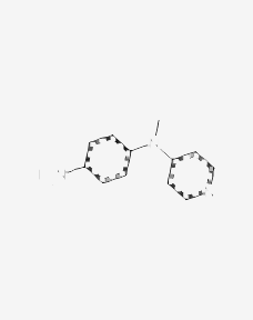 CN(c1ccncc1)c1ccc(N)cc1